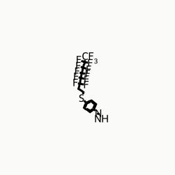 N=Nc1ccc(SCCC(F)(F)C(F)(F)C(F)(F)C(F)(F)C(F)(F)C(F)(F)F)cc1